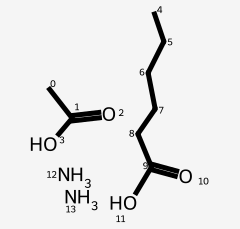 CC(=O)O.CCCCCC(=O)O.N.N